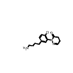 NCCCCc1ccc(Cl)c(N2N=CCCC2=O)c1